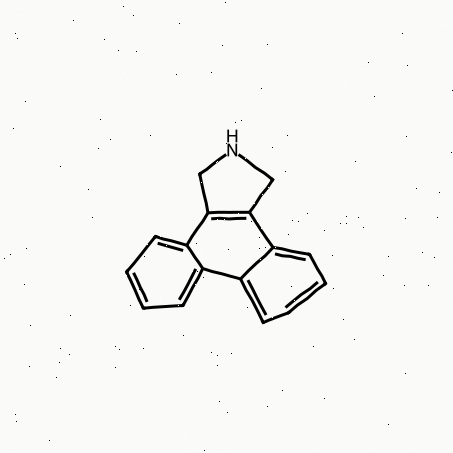 c1ccc2c(c1)c1c(c3ccccc32)CNC1